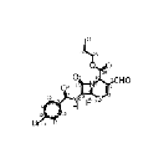 O=CC1=CS[C@H]2C(NC(=O)c3ccc(Br)cc3)C(=O)N2C1C(=O)OCCI